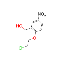 O=[N+]([O-])c1ccc(OCCCl)c(CO)c1